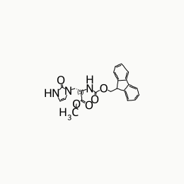 COC(=O)[C@H](Cn1cc[nH]c1=O)NC(=O)OCC1c2ccccc2-c2ccccc21